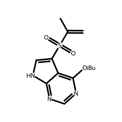 C=C(C)S(=O)(=O)c1c[nH]c2ncnc(OCC(C)C)c12